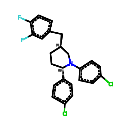 Fc1ccc(C[C@@H]2CC[C@@H](c3ccc(Cl)cc3)N(c3ccc(Cl)cc3)C2)cc1F